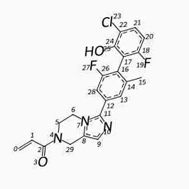 C=CC(=O)N1CCn2c(cnc2-c2cc(C)c(-c3c(F)ccc(Cl)c3O)c(F)c2)C1